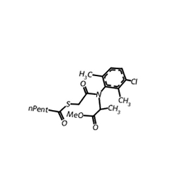 CCCCCC(=O)SCC(=O)N(c1c(C)ccc(Cl)c1C)C(C)C(=O)OC